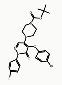 CC(C)(C)OC(=O)N1CCN(c2cnn(-c3ccc(Cl)cc3)c(=O)c2Oc2ccc(Br)cc2)CC1